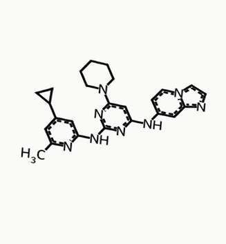 Cc1cc(C2CC2)cc(Nc2nc(Nc3ccn4ccnc4c3)cc(N3CCCCC3)n2)n1